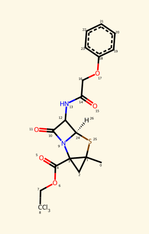 CC12CC1(C(=O)OCC(Cl)(Cl)Cl)N1C(=O)C(NC(=O)COc3ccccc3)[C@H]1S2